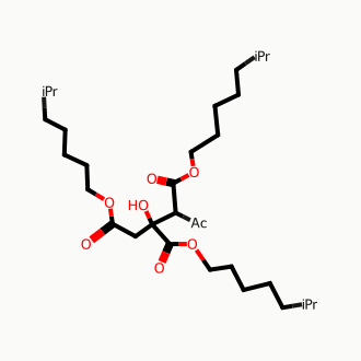 CC(=O)C(C(=O)OCCCCCC(C)C)C(O)(CC(=O)OCCCCCC(C)C)C(=O)OCCCCCC(C)C